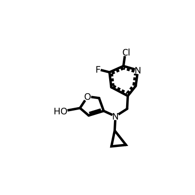 OC1C=C(N(Cc2cnc(Cl)c(F)c2)C2CC2)CO1